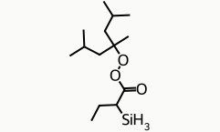 CCC([SiH3])C(=O)OOC(C)(CC(C)C)CC(C)C